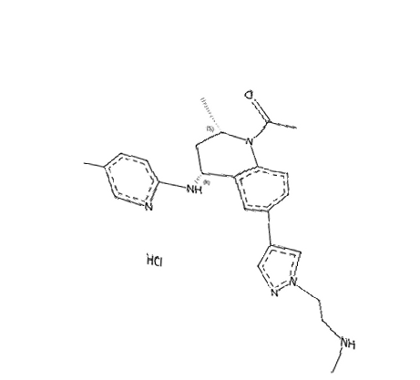 CNCCn1cc(-c2ccc3c(c2)[C@H](Nc2ccc(C)cn2)C[C@H](C)N3C(C)=O)cn1.Cl